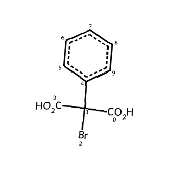 O=C(O)C(Br)(C(=O)O)c1ccccc1